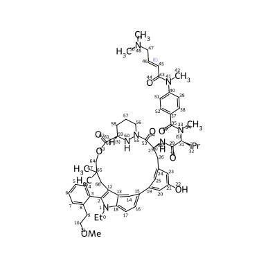 CCn1c(-c2ccccc2CCOC)c2c3cc(ccc31)-c1cc(O)cc(c1)C[C@H](NC(=O)[C@H](C(C)C)N(C)C(=O)c1ccc(N(C)C(=O)/C=C/CN(C)C)cc1)C(=O)N1CCC[C@H](N1)C(=O)OCC(C)(C)C2